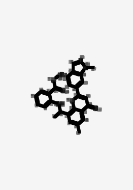 Cc1cc(C(C)Nc2ccccc2C(=O)OC(C)(C)C)c2oc(-c3ccc4cnn(C)c4c3)cc(=O)c2c1